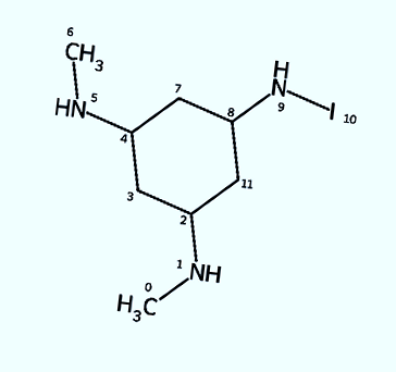 CNC1CC(NC)CC(NI)C1